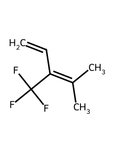 C=CC(=C(C)C)C(F)(F)F